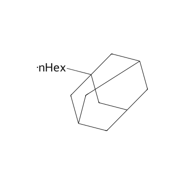 CCCCC[CH]C12CC3CC(CC(C3)C1)C2